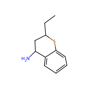 CCC1CC(N)c2ccccc2S1